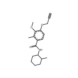 C#CCOc1ccc(C(=O)NC2CCCCC2C)c(C)c1OC